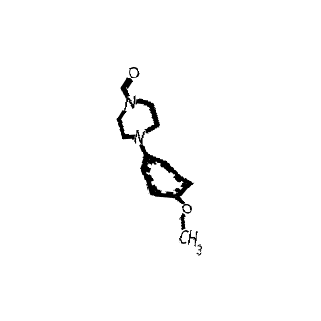 CCOc1ccc(N2CCN(C=O)CC2)cc1